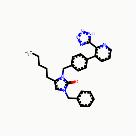 CCCCCc1cn(Cc2ccccc2)c(=O)n1Cc1ccc(-c2cccnc2-c2nnn[nH]2)cc1